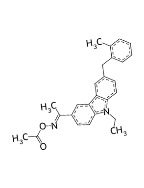 CCn1c2ccc(Cc3ccccc3C)cc2c2cc(C(C)=NOC(C)=O)ccc21